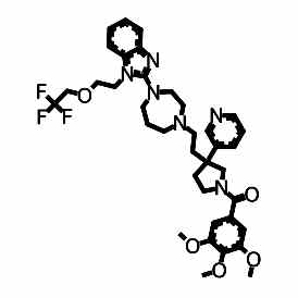 COc1cc(C(=O)N2CCC(CCN3CCCN(c4nc5ccccc5n4CCOCC(F)(F)F)CC3)(c3cccnc3)C2)cc(OC)c1OC